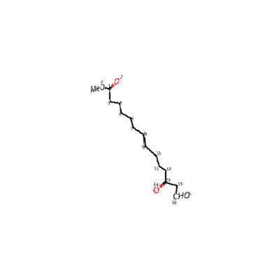 COC(=O)CCCCCCCCCCC(=O)C[C]=O